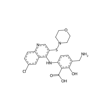 NCc1ccc(Nc2c(SN3CCOCC3)cnc3ccc(Cl)cc23)c(C(=O)O)c1O